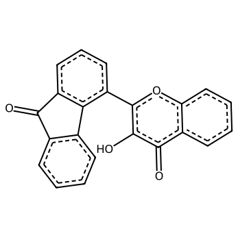 O=C1c2ccccc2-c2c1cccc2-c1oc2ccccc2c(=O)c1O